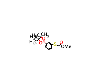 COC(=O)CSc1cccc(B2OC(C)(C)C(C)(C)O2)c1